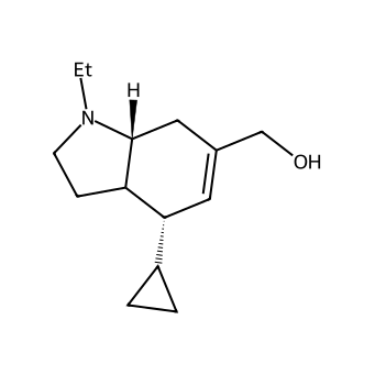 CCN1CCC2[C@@H](C3CC3)C=C(CO)C[C@H]21